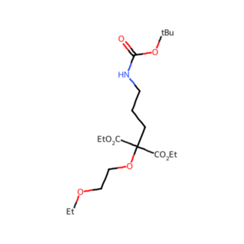 CCOCCOC(CCCNC(=O)OC(C)(C)C)(C(=O)OCC)C(=O)OCC